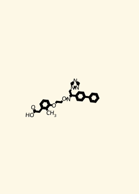 Cc1c(CC(=O)O)cccc1OCCON=C(Cn1cncn1)c1ccc(-c2ccccc2)cc1